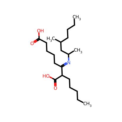 CCCCCC(C(=O)O)C(CCCCC(=O)O)=NC(C)CC(C)CCCC